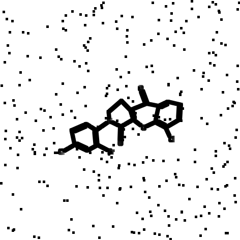 O=C1c2oc3c(Cl)cccc3c(=O)c2CCN1c1ccc(Cl)cc1Br